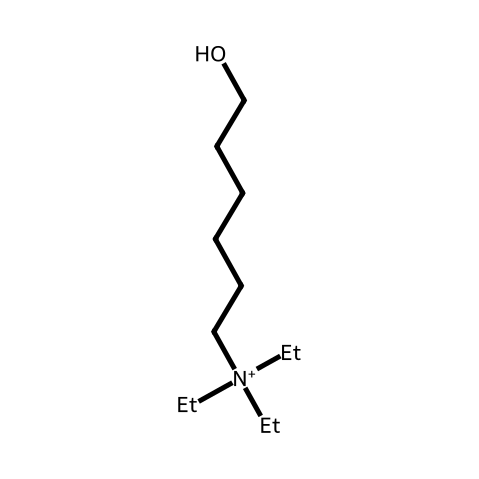 CC[N+](CC)(CC)CCCCCCO